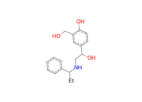 CCC(NCC(O)c1ccc(O)c(CO)c1)c1[c]cccc1